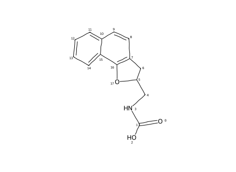 O=C(O)NCC1Cc2ccc3ccccc3c2O1